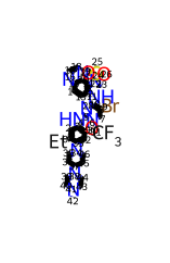 CCc1cc(Nc2ncc(Br)c(Nc3ccc4nccnc4c3N(C)S(C)(=O)=O)n2)c(OC(F)(F)F)cc1N1CCC(N2CCN(C)CC2)CC1